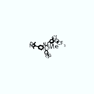 CSC(Cc1ccc(OC(F)(F)F)c(Cl)c1)c1nc2cc(-c3c(C)noc3C)ccc2n1C1CCS(=O)(=O)CC1